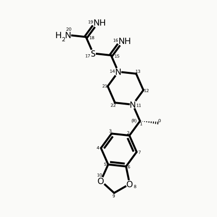 C[C@H](c1ccc2c(c1)OCO2)N1CCN(C(=N)SC(=N)N)CC1